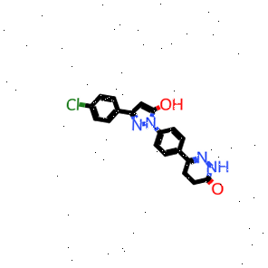 O=C1CCC(c2ccc(-n3nc(-c4ccc(Cl)cc4)cc3O)cc2)=NN1